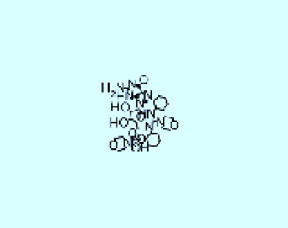 C1CCC(N=C(NC2CCCCC2)N2CCOCC2)CC1.Nc1nc(=O)c2ncn(C3OC(COP(=O)(O)N4CCOCC4)C(O)C3O)c2[nH]1